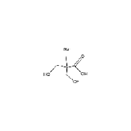 CC(CO)(CO)C(=O)O.[Na]